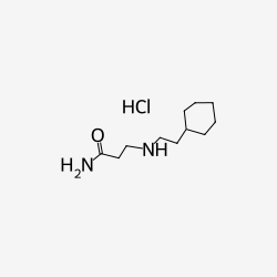 Cl.NC(=O)CCNCCC1CCCCC1